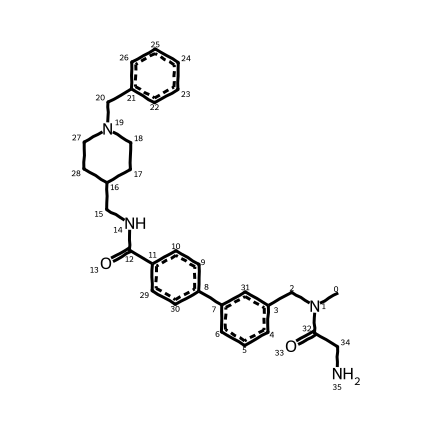 CN(Cc1cccc(-c2ccc(C(=O)NCC3CCN(Cc4ccccc4)CC3)cc2)c1)C(=O)CN